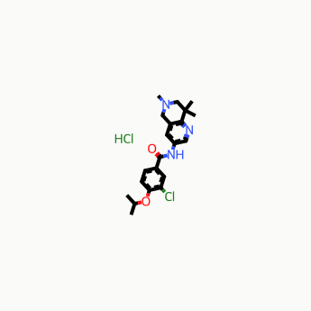 CC(C)Oc1ccc(C(=O)Nc2cnc3c(c2)CN(C)CC3(C)C)cc1Cl.Cl